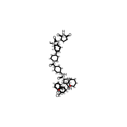 Cn1c(=O)n([C@H]2CCC(=O)NC2=O)c2ccc(C3CCN(C(=O)C4CCC(NC(=O)[C@@H]5NC6(CCCCC6)[C@@]6(C(=O)Nc7cc(Cl)ccc76)[C@H]5c5cccc(Cl)c5F)CC4)CC3)cc21